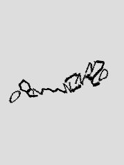 O=C1CCCc2c1ccn2CCCCN1CCN(c2nccc3occc23)CC1